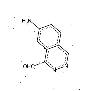 Nc1ccc2cnnc(C=O)c2c1